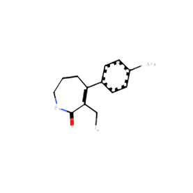 COc1ccc(C2=C(CC(C)=O)C(=O)NCCC2)cc1